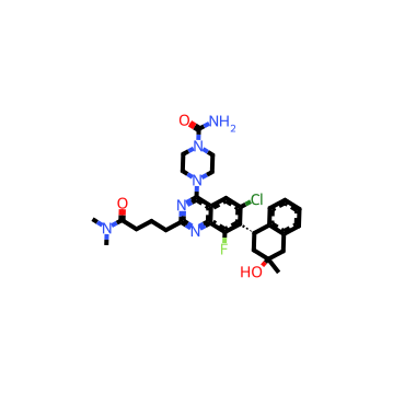 CN(C)C(=O)CCCc1nc(N2CCN(C(N)=O)CC2)c2cc(Cl)c([C@H]3CC(C)(O)Cc4ccccc43)c(F)c2n1